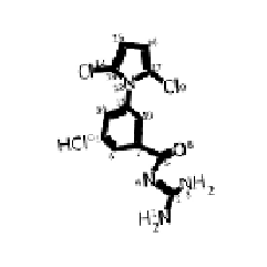 Cl.NC(N)=NC(=O)c1cccc(-n2c(Cl)ccc2Cl)c1